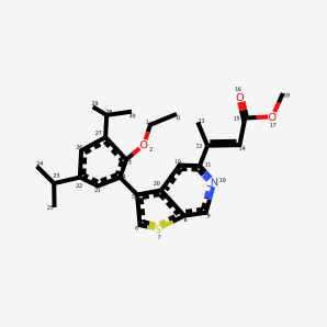 CCOc1c(-c2csc3cnc(/C(C)=C/C(=O)OC)cc23)cc(C(C)C)cc1C(C)C